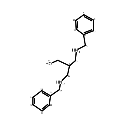 OCC(CNCc1ccccc1)CNCc1ccccc1